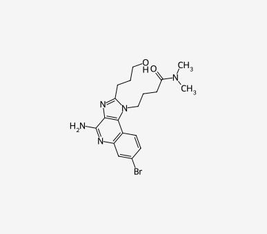 CN(C)C(=O)CCCn1c(CCCO)nc2c(N)nc3cc(Br)ccc3c21